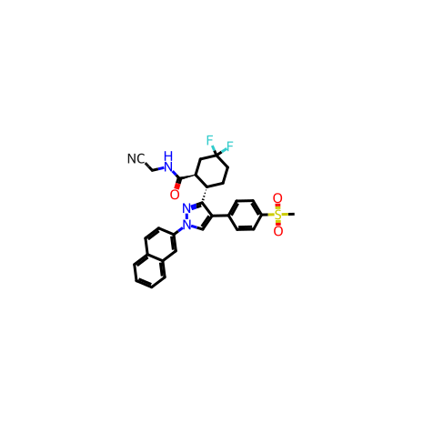 CS(=O)(=O)c1ccc(-c2cn(-c3ccc4ccccc4c3)nc2[C@H]2CCC(F)(F)C[C@@H]2C(=O)NCC#N)cc1